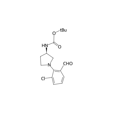 CC(C)(C)OC(=O)N[C@@H]1CCN(c2c(Cl)cccc2C=O)C1